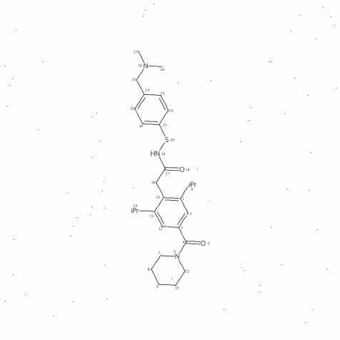 CC(C)c1cc(C(=O)N2CCCCC2)cc(C(C)C)c1CC(=O)NSc1ccc(CN(C)C)cc1